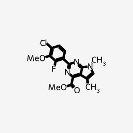 COC(=O)c1nc(-c2ccc(Cl)c(OC)c2F)nc2c1c(C)cn2C